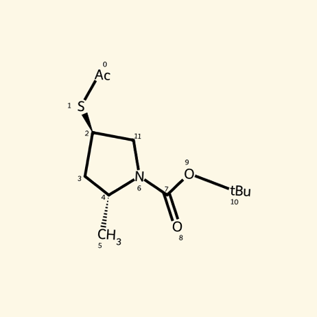 CC(=O)S[C@@H]1C[C@@H](C)N(C(=O)OC(C)(C)C)C1